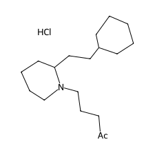 CC(=O)CCCN1CCCCC1CCC1CCCCC1.Cl